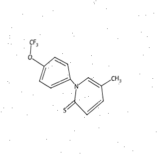 Cc1ccc(=S)n(-c2ccc(OC(F)(F)F)cc2)c1